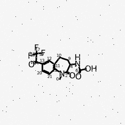 CN1C(=O)C(NC(=O)O)CCc2cc(C(=O)C(F)(F)F)ccc21